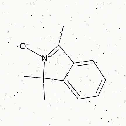 CC1=[N+]([O-])C(C)(C)c2ccccc21